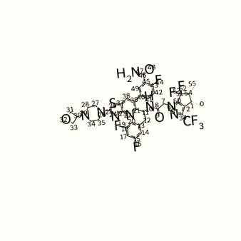 C[C@@H]1c2c(C(F)(F)F)nn(CC(=O)N[C@@H](Cc3cc(F)cc(F)c3)c3nc4nc(N5CCN(C6COC6)CC5)sc4cc3-c3ccc(F)c(C(N)=O)c3)c2C(F)(F)[C@@H]1C